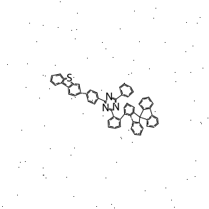 c1ccc(-c2nc(-c3ccc(-c4ccc5c(c4)sc4ccccc45)cc3)nc(-c3ccccc3-c3cccc4c3-c3ccccc3C43c4ccccc4-c4ccccc43)n2)cc1